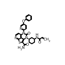 C=CC(=O)NC1CCC[C@@H](N2C(=O)N(c3ccc(Oc4ccccc4)cn3)c3ccnc4sc(C(N)=O)c2c34)C1